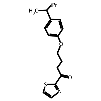 CC(C)C(C)c1ccc(OCCCC(=O)c2nccs2)cc1